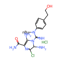 CCCCN(C(=N)N1C(N)=C(C(N)=O)N=C(Cl)C1N)c1ccc(CCO)cc1.Cl